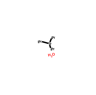 CC(C)[Si](C(C)C)C(C)C.O